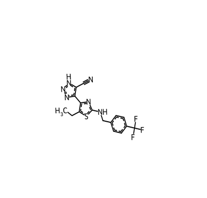 CCc1sc(NCc2ccc(C(F)(F)F)cc2)nc1-c1nn[nH]c1C#N